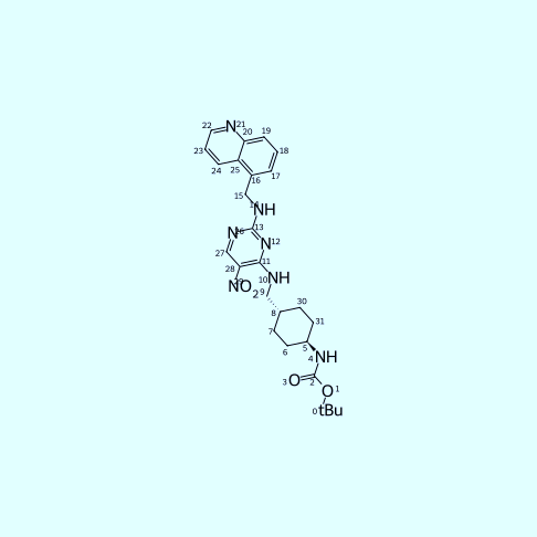 CC(C)(C)OC(=O)N[C@H]1CC[C@H](CNc2nc(NCc3cccc4ncccc34)ncc2[N+](=O)[O-])CC1